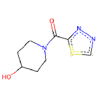 O=C(c1nn[c]s1)N1CCC(O)CC1